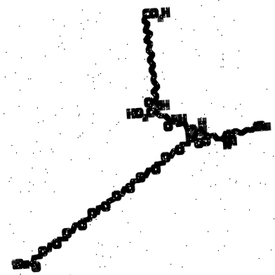 CC(C)(C)CCCCn1cc(CCC(=O)N[C@@H](CCCCNC(=O)CC[C@H](NC(=O)CCCCCCCCCCCCCCCCC(=O)O)C(=O)O)C(=O)NCCOCCOCCOCCOCCOCCOCCOCCOCCOCCOCCOCCOCCC(=O)C(C)(C)C)nn1